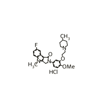 COc1ccc(N2Cc3c(c4cc(F)ccc4n3C)C2=O)cc1OCCN1CCC(C)CC1.Cl